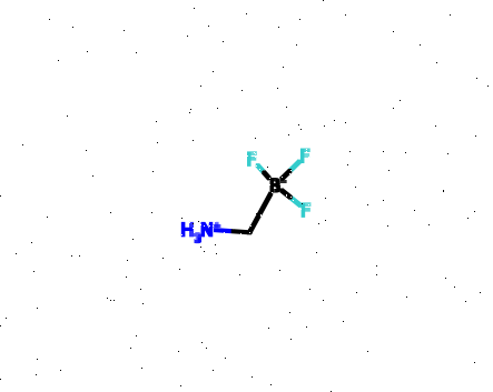 [NH3+]C[B-](F)(F)F